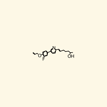 C=CCOc1ccc(-c2ccc(C=CCCCC(C)O)nc2)cc1F